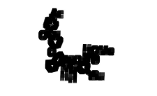 COC(=O)Nc1cc(C(C)(C)C)cc(NC(=O)Nc2ccc(Oc3ccnc(C(=O)N4CCN(C(C)=O)CC4)c3)c3ccccc23)c1OC